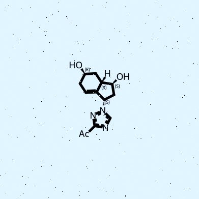 CC(=O)c1ncn([C@H]2C[C@H](O)[C@H]3C[C@H](O)CC=C32)n1